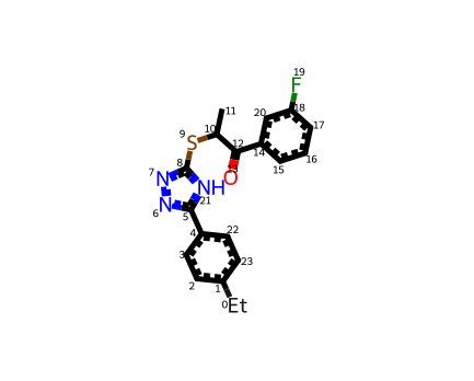 CCc1ccc(-c2nnc(SC(C)C(=O)c3cccc(F)c3)[nH]2)cc1